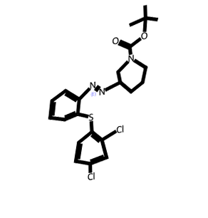 CC(C)(C)OC(=O)N1CCCC(/N=N/c2ccccc2Sc2ccc(Cl)cc2Cl)C1